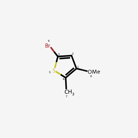 COc1cc(Br)sc1C